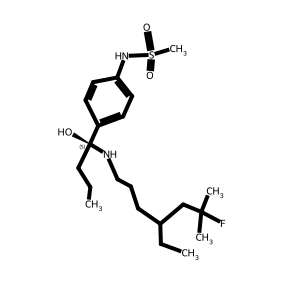 CCC[C@@](O)(NCCCC(CC)CC(C)(C)F)c1ccc(NS(C)(=O)=O)cc1